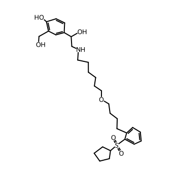 O=S(=O)(c1ccccc1CCCCOCCCCCCNCC(O)c1ccc(O)c(CO)c1)C1CCCC1